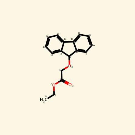 CCOC(=O)COC1c2ccccc2-c2ccccc21